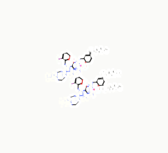 COc1cc(Cn2c(=O)c3c(nc(N4CCCNCC4)n3Cc3ccccc3I)n(C)c2=O)cc(OC)c1.COc1cccc(Cn2c(=O)c3c(nc(N4CCCNCC4)n3Cc3ccccc3I)n(C)c2=O)c1